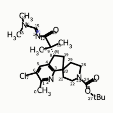 Cc1nc2c(cc1Cl)[C@H](C(C)(C)C(=O)/N=C/N(C)C)CC21CCN(C(=O)OC(C)(C)C)CC1